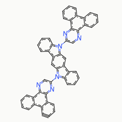 c1ccc2c(c#1)c1ccccc1c1ncc(-n3c4ccccc4c4cc5c(cc43)c3ccccc3n5-c3cnc4c5ccccc5c5ccccc5c4n3)nc21